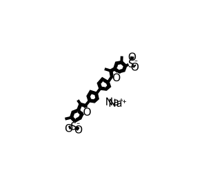 Cc1cc2c(C)c(-c3ccc(-c4ccc(-c5oc6cc([S-](=O)=O)c(C)cc6c5C)cc4)cc3)oc2cc1[S-](=O)=O.[Na+].[Na+]